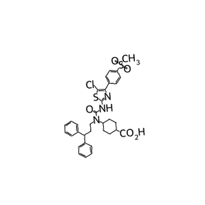 CS(=O)(=O)c1ccc(-c2nc(NC(=O)N(CCC(c3ccccc3)c3ccccc3)C3CCC(C(=O)O)CC3)sc2Cl)cc1